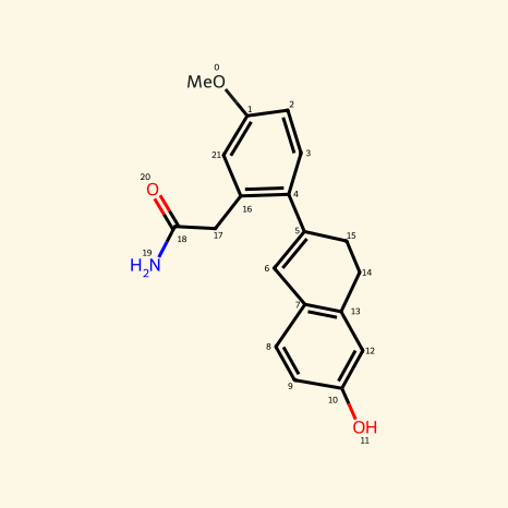 COc1ccc(C2=Cc3ccc(O)cc3CC2)c(CC(N)=O)c1